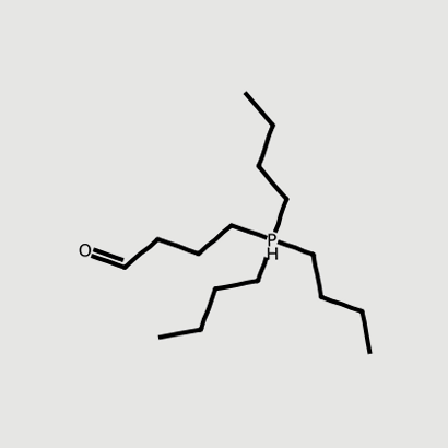 CCCC[PH](CCCC)(CCCC)CCCC=O